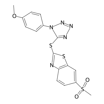 COc1ccc(-n2nnnc2Sc2nc3ccc(S(C)(=O)=O)cc3s2)cc1